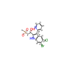 CS(=O)(=O)CC(O)c1[nH]c2cc(Br)c(Cl)cc2c1-c1ccccn1